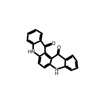 O=c1c2ccccc2[nH]c2ccc3[nH]c4ccccc4c(=O)c3c12